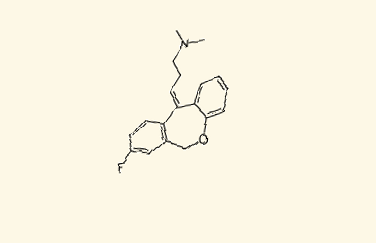 CN(C)CC/C=C1/c2ccc(F)cc2COc2ccccc21